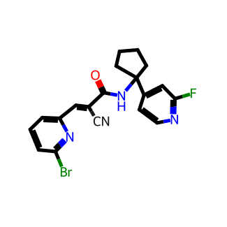 N#C/C(=C\c1cccc(Br)n1)C(=O)NC1(c2ccnc(F)c2)CCCC1